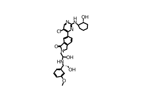 COc1cccc([C@@H](CO)NC(O)CN2Cc3ccc(-c4nc(NC5CCCC[C@@H]5O)ncc4Cl)cc3C2=O)c1